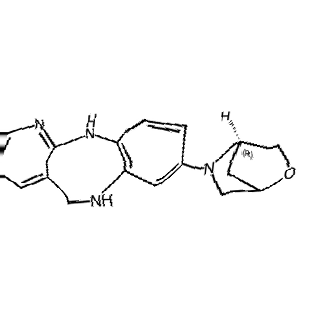 c1cnc2c(c1)CNc1cc(N3CC4C[C@@H]3CO4)ccc1N2